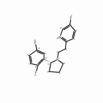 Fc1ccc([CH]CN2CCC[C@@H]2c2cc(F)ccc2F)nc1